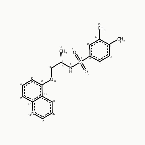 Cc1ccc(S(=O)(=O)N[C@@H](C)COc2cccc3ncccc23)cc1C